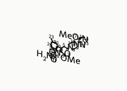 COC(=O)c1c(CCN2CCN(c3ncncc3OC)CC2)c2cc(C)ccc2n1CS(N)(=O)=O